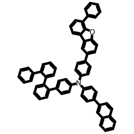 c1ccc(-c2ccccc2-c2ccccc2-c2ccc(N(c3ccc(-c4ccc5ccccc5c4)cc3)c3ccc(-c4ccc5oc6c(-c7ccccc7)cccc6c5c4)cc3)cc2)cc1